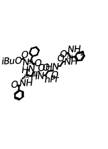 CCCC(NC(=O)[C@@H]1C[C@@H](CNC(=O)c2ccccc2)CN1C(=O)[C@@H](NC(=O)OCC(C)C)C1CCCCC1)C(=O)C(=O)NCC(=O)N[C@H](C(N)=O)c1ccccc1